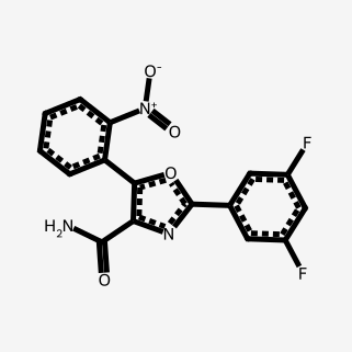 NC(=O)c1nc(-c2cc(F)cc(F)c2)oc1-c1ccccc1[N+](=O)[O-]